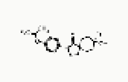 CC[C@]1(O)CC[C@@]2(CCN(c3ccc(OC(C)C(F)(F)F)cc3)C2=O)CC1